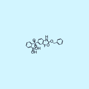 O=C(Nc1ccc(S(=O)(=O)c2ccccc2B(O)O)cc1F)OCc1ccccc1